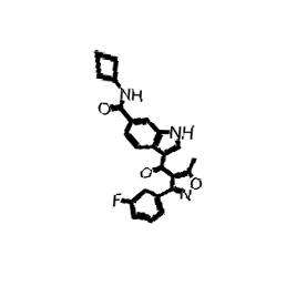 Cc1onc(-c2cccc(F)c2)c1C(=O)c1c[nH]c2cc(C(=O)NC3CCC3)ccc12